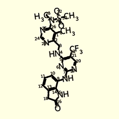 Cc1c(CNc2nc(Nc3cccc4c3NC(=O)C4)ncc2C(F)(F)F)ncnc1N(C)S(C)(=O)=O